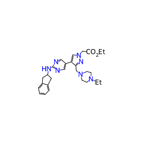 CCOC(=O)Cn1cc(-c2cnc(NC3Cc4ccccc4C3)nc2)c(CN2CCN(CC)CC2)n1